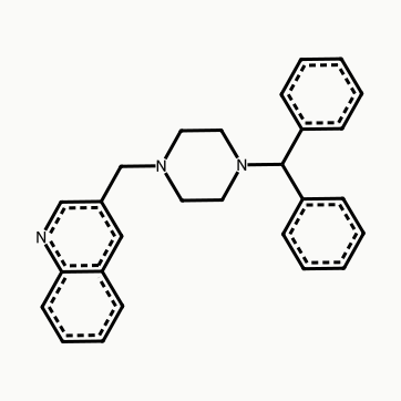 c1ccc(C(c2ccccc2)N2CCN(Cc3cnc4ccccc4c3)CC2)cc1